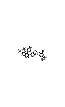 Cc1nc(C)c(C(OC(C)(C)C)C(=O)OC(C)C)c(N2CCC(C)(C)CC2)c1-c1ccc2c(c1)CC[C@H](Cc1ccc(S(C)(=O)=O)cc1F)O2